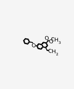 C=Cc1cc(C(=O)OC)cc2cc(OCc3ccccc3)ccc12